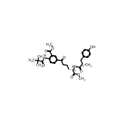 COC(=O)c1cc(C(=O)CCC[C@H](NC(=O)[C@@H](C)Cc2ccc(O)cc2)C(=O)OC)ccc1NC(=O)C(C)(C)C